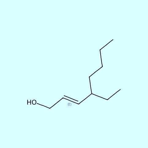 CCCCC(/C=C/CO)CC